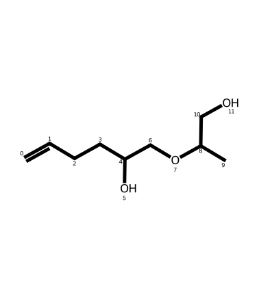 C=CCCC(O)COC(C)CO